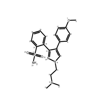 COc1ccc(-c2cn(CCN(C)C)nc2-c2ccccc2S(N)(=O)=O)cc1